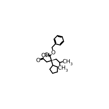 CC(C)C[C@@](CC(=O)O)(C(=O)OCc1ccccc1)C1CCCC1